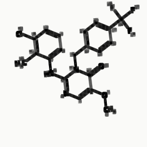 COc1cnc(Nc2cccc(Cl)c2C)n(Cc2ccc(C(F)(F)F)cc2)c1=O